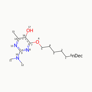 CCCCCCCCCCCCCCCOc1nc(N(C)C)nc(C)c1O